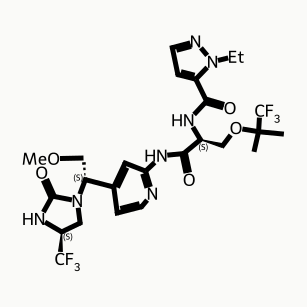 CCn1nccc1C(=O)N[C@@H](COC(C)(C)C(F)(F)F)C(=O)Nc1cc([C@@H](COC)N2C[C@@H](C(F)(F)F)NC2=O)ccn1